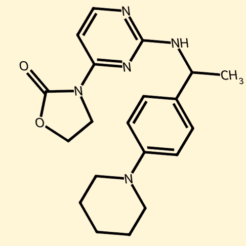 CC(Nc1nccc(N2CCOC2=O)n1)c1ccc(N2CCCCC2)cc1